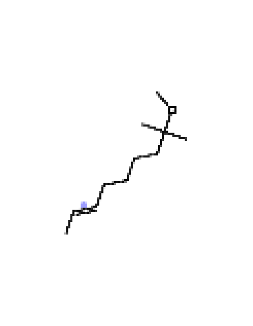 C/C=C/CCCCC(C)(C)OC